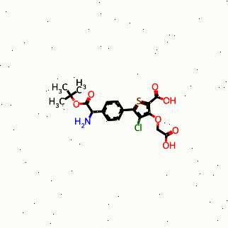 CC(C)(C)OC(=O)C(N)c1ccc(-c2sc(C(=O)O)c(OCC(=O)O)c2Cl)cc1